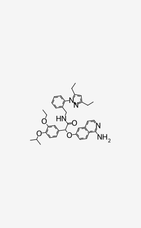 CCOc1cc(C(Oc2ccc3c(N)nccc3c2)C(=O)NCc2ccccc2-n2nc(CC)cc2CC)ccc1OC(C)C